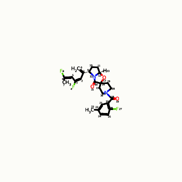 C=C(/C=C(F)\C=C(/C)F)[C@@H]1CC[C@H]2OC3(CCN(C(=O)c4cc(C)ccc4F)CC3)C(=O)N21